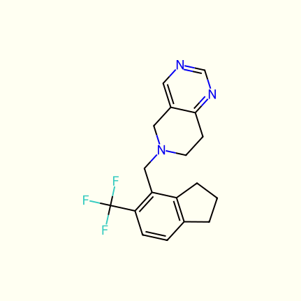 FC(F)(F)c1ccc2c(c1CN1CCc3ncncc3C1)CCC2